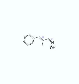 CC(/C=N\O)=C\c1ccccc1